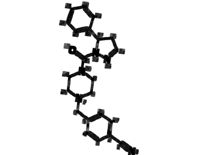 N#Cc1ccc(CN2CCN(C(=O)N3N=CCC3c3ccccc3)CC2)cc1